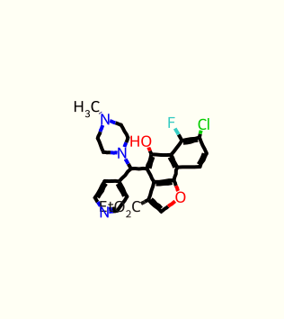 CCOC(=O)c1coc2c1c(C(c1ccncc1)N1CCN(C)CC1)c(O)c1c(F)c(Cl)ccc12